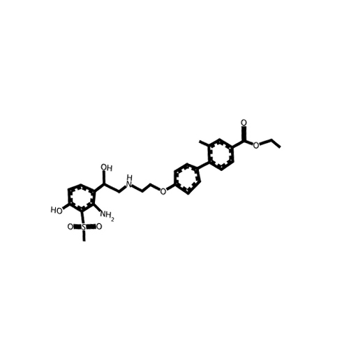 CCOC(=O)c1ccc(-c2ccc(OCCNCC(O)c3ccc(O)c(S(C)(=O)=O)c3N)cc2)c(C)c1